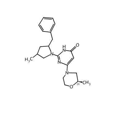 CC1CC(Cc2ccccc2)N(c2nc(N3CCO[C@H](C)C3)cc(=O)[nH]2)C1